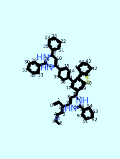 C=C/C(=C\C=C/C)C1=CC(c2cc(C3=CC=C(C4=CC(c5ccccc5)NC(c5ccccc5)N4)CC3)c3c(c2)sc2ccccc23)NC(c2ccccc2)N1